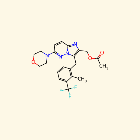 CC(=O)OCc1nc2ccc(N3CCOCC3)nn2c1Cc1cccc(C(F)(F)F)c1C